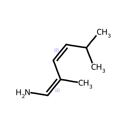 CC(/C=C\C(C)C)=C/N